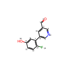 O=Cc1cncc(-c2cc(O)ccc2F)c1